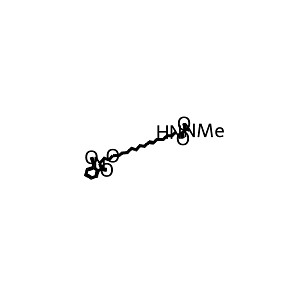 CNC(=O)C(=O)NCCCCC=CCCCCCCCOCCN1C(=O)c2ccccc2C1=O